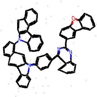 c1cc(-n2c3ccccc3c3c4ccccc4ccc32)c2cc3c(cc2c1)c1ccccc1n3-c1ccc(-c2nc(-c3ccc4oc5ccccc5c4c3)nc3ccccc23)cc1